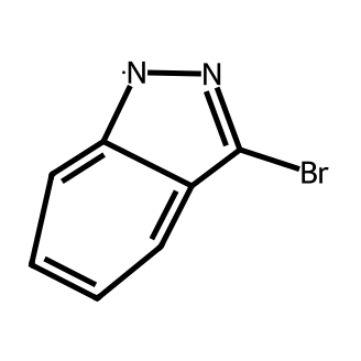 BrC1=N[N]c2ccccc21